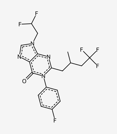 CC(Cc1nc2c(ncn2CC(F)F)c(=O)n1-c1ccc(F)cc1)CC(F)(F)F